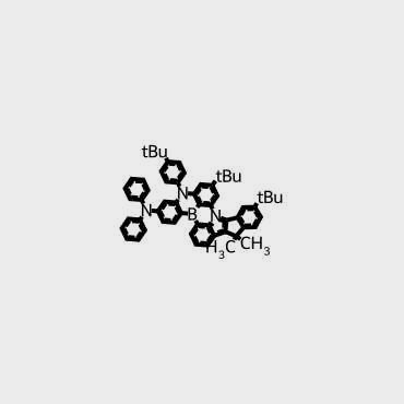 CC(C)(C)c1ccc(N2c3cc(N(c4ccccc4)c4ccccc4)ccc3B3c4c2cc(C(C)(C)C)cc4-n2c4c(c5cccc3c52)C(C)(C)c2ccc(C(C)(C)C)cc2-4)cc1